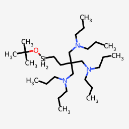 CCCN(CCC)CC(CC[SiH2]OC(C)(C)C)(CN(CCC)CCC)CN(CCC)CCC